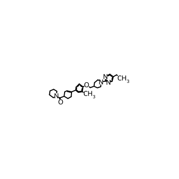 CCc1cnc(N2CCC(COc3ccc(C4=CCC(C(=O)N5CCCCC5)CC4)cc3C)CC2)nc1